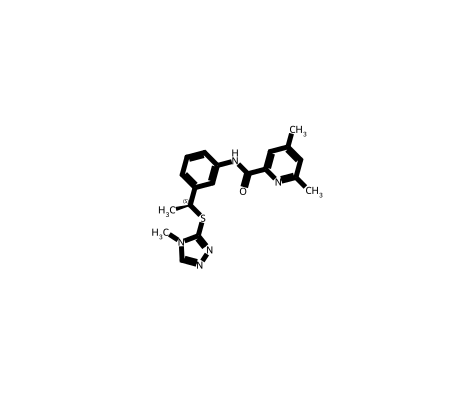 Cc1cc(C)nc(C(=O)Nc2cccc([C@H](C)Sc3nncn3C)c2)c1